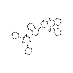 O=P1(c2ccccc2)c2ccccc2Oc2ccc(-c3ccc(-c4nc(-c5ccccc5)nc(-c5ccccc5)n4)c4ccccc34)cc21